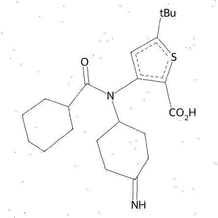 CC(C)(C)c1cc(N(C(=O)C2CCCCC2)C2CCC(=N)CC2)c(C(=O)O)s1